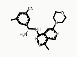 Cc1cc(C#N)cc([C@@H](N)Nc2nnc(C)c3cnc(N4CCOCC4)cc23)c1